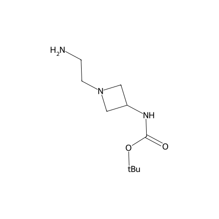 CC(C)(C)OC(=O)NC1CN(CCN)C1